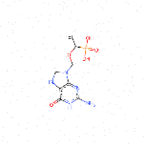 CCC(OCN1CNc2c1nc(N)[nH]c2=O)P(=O)(O)O